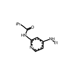 CCNc1ccnc(NC(=O)C(C)C)c1